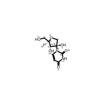 O=c1ccn([C@@]2(O)CO[C@](F)(CO)[C@H]2O)c(=O)[nH]1